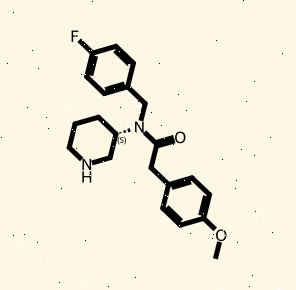 COc1ccc(CC(=O)N(Cc2ccc(F)cc2)[C@H]2CCCNC2)cc1